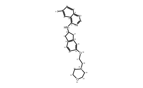 Ic1ccc2ncnc(NC3Cc4ccc(OCCN5CCOCC5)cc4C3)c2c1